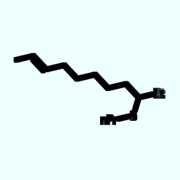 CC=CCCCCCC(CC)SCCC